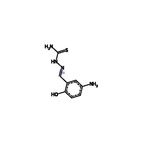 NC(=S)N/N=C/c1cc(N)ccc1O